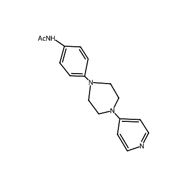 CC(=O)Nc1ccc(N2CCN(c3ccncc3)CC2)cc1